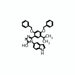 CC(C)c1cc(-c2nnc(O)n2-c2ccc3[nH]ccc3c2)c(OCc2ccccc2)cc1OCc1ccccc1